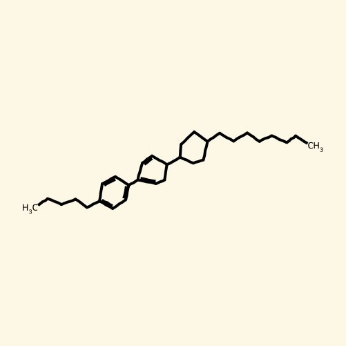 CCCCCCCCC1CCC(C2C=CC(c3ccc(CCCCC)cc3)=CC2)CC1